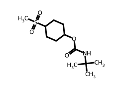 CC(C)(C)NC(=O)OC1CCC(S(C)(=O)=O)CC1